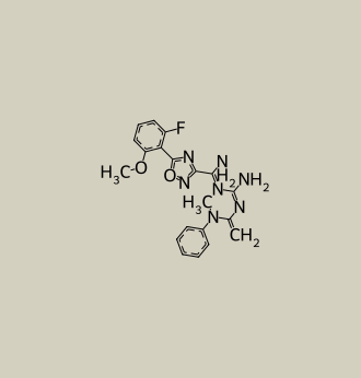 C=C(/N=C(N)\N=C(/N)c1noc(-c2c(F)cccc2OC)n1)N(C)c1ccccc1